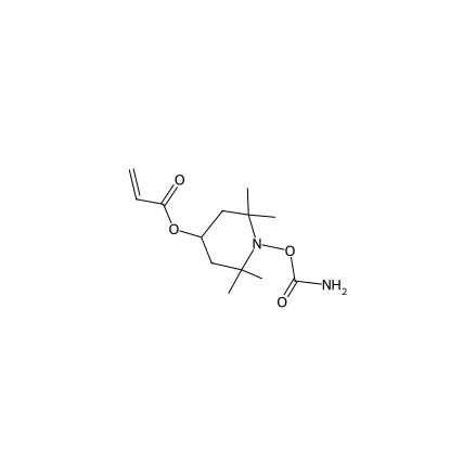 C=CC(=O)OC1CC(C)(C)N(OC(N)=O)C(C)(C)C1